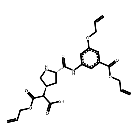 C=CCOC(=O)c1cc(NC(=O)[C@@H]2C[C@@H](C(C(=O)S)C(=O)OCC=C)CN2)cc(OCC=C)c1